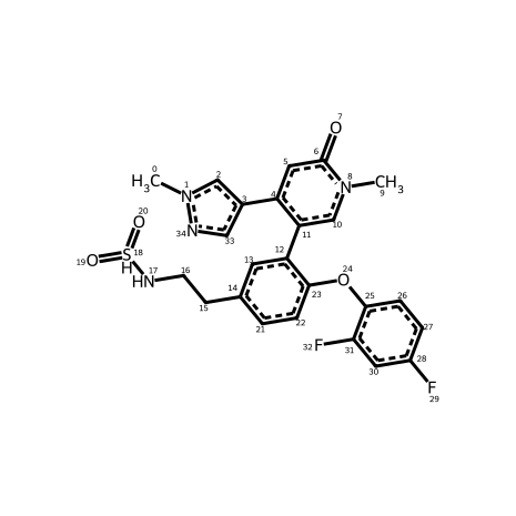 Cn1cc(-c2cc(=O)n(C)cc2-c2cc(CCN[SH](=O)=O)ccc2Oc2ccc(F)cc2F)cn1